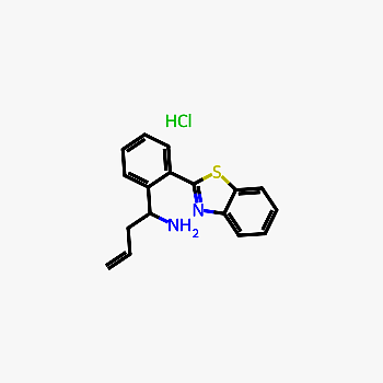 C=CCC(N)c1ccccc1-c1nc2ccccc2s1.Cl